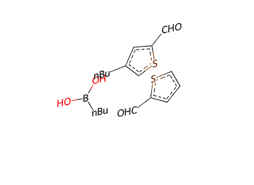 CCCCB(O)O.CCCCc1csc(C=O)c1.O=Cc1cccs1